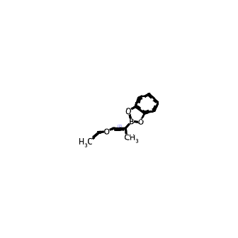 CCO/C=C(\C)B1Oc2ccccc2O1